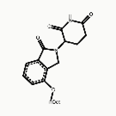 CCCCCCCCOc1cccc2c1CN(C1CCC(=O)NC1=O)C2=O